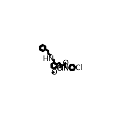 COc1ccc(CNCCCc2ccccc2)c2cc(C(=O)Nc3ccc(Cl)cc3)oc12